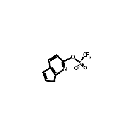 O=S(=O)(Oc1ccc2c(n1)CC=C2)C(F)(F)F